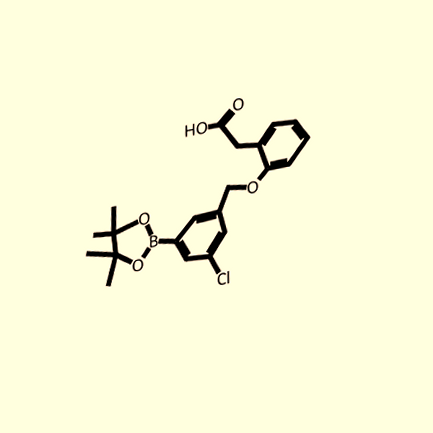 CC1(C)OB(c2cc(Cl)cc(COc3ccccc3CC(=O)O)c2)OC1(C)C